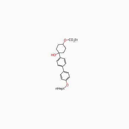 CCCCCCCOc1ccc(-c2ccc(C3(O)CCC(OC(=O)OCC)CC3)cc2)cc1